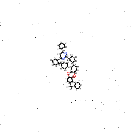 CC1(C)c2ccccc2-c2c1ccc1c2Oc2ccc(-c3cccc(-c4nc(-c5ccccc5)cc(-c5ccccc5-c5ccccc5)n4)c3)cc2O1